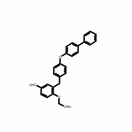 COCOc1ccc(C=O)cc1Cc1ccc(Oc2ccc(-c3ccccc3)cc2)cc1